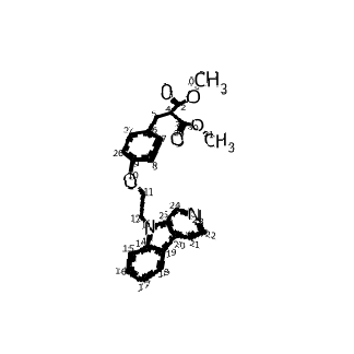 COC(=O)C(Cc1ccc(OCCn2c3ccccc3c3ccncc32)cc1)C(=O)OC